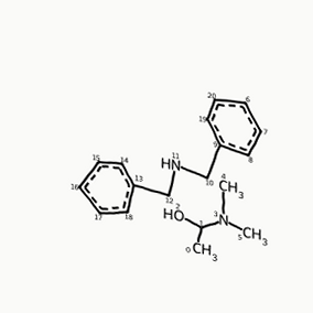 CC(O)N(C)C.c1ccc(CNCc2ccccc2)cc1